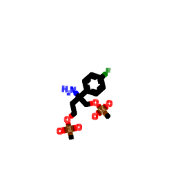 CS(=O)(=O)OCCC(N)(COS(C)(=O)=O)c1ccc(F)cc1